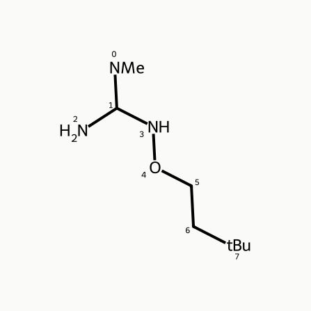 CNC(N)NOCCC(C)(C)C